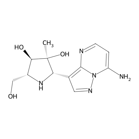 C[C@@]1(O)[C@H](O)[C@@H](CO)N[C@H]1c1cnn2c(N)ccnc12